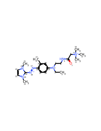 CCN(CCNC(=O)C[N+](C)(C)C)c1ccc(/N=N/C2N(C)C=CN2C)c(C)c1